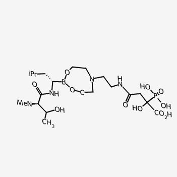 CN[C@@H](C(=O)N[C@H](CC(C)C)B1OCCN(CCNC(=O)CC(O)(C(=O)O)P(=O)(O)O)CCO1)C(C)O